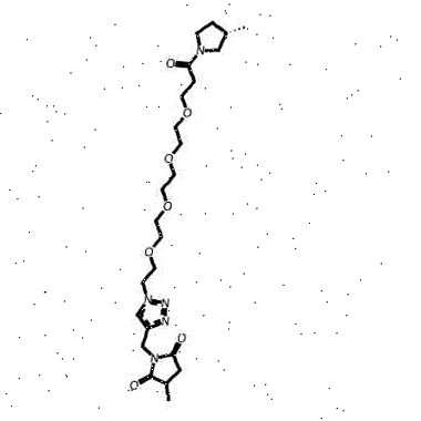 CC1CC(=O)N(Cc2cn(CCOCCOCCOCCOCCC(=O)N3CC[C@H](C)C3)nn2)C1=O